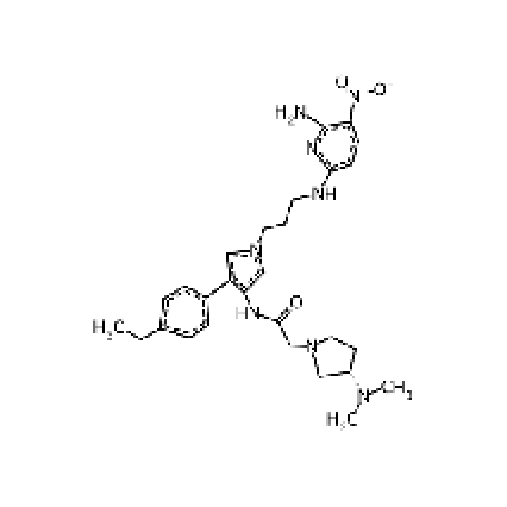 CCc1ccc(-c2cn(CCCNc3ccc([N+](=O)[O-])c(N)n3)cc2NC(=O)CN2CC[C@H](N(C)C)C2)cc1